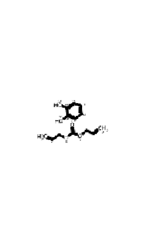 C=CCOC(=O)OCC=C.Oc1ccccc1O